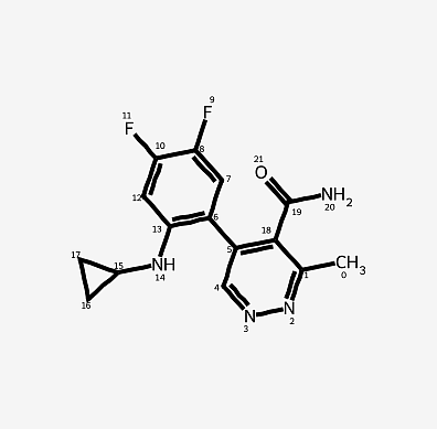 Cc1nncc(-c2cc(F)c(F)cc2NC2CC2)c1C(N)=O